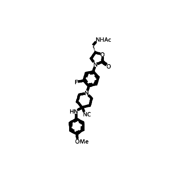 [C-]#[N+]C1(Nc2ccc(OC)cc2)CCN(c2ccc(N3C[C@H](CNC(C)=O)OC3=O)cc2F)CC1